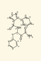 NC(=O)C(=O)C(Cc1ccccc1)NC(=O)c1nsnc1-c1ncncn1